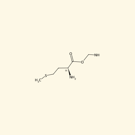 CSCC[C@H](N)C(=O)OC[NH]